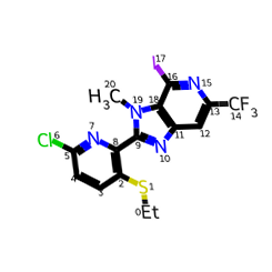 CCSc1ccc(Cl)nc1-c1nc2cc(C(F)(F)F)nc(I)c2n1C